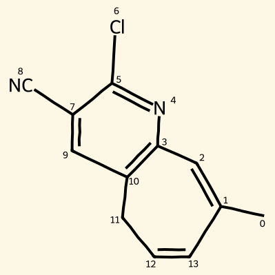 CC1=Cc2nc(Cl)c(C#N)cc2CC=C1